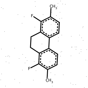 Cc1ccc2c(c1F)CCc1c-2ccc(C)c1F